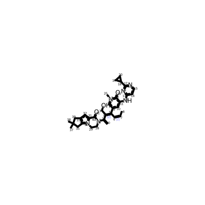 C=C(/C(CO)=C(\C=C/C)c1cc(Nc2ccnc(C3CC3)n2)c(=O)n(C)c1)N1CCn2c(cc3c2CC(C)(C)C3)C1=O